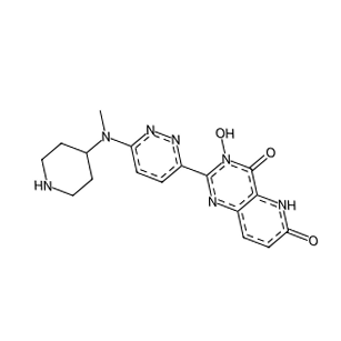 CN(c1ccc(-c2nc3ccc(=O)[nH]c3c(=O)n2O)nn1)C1CCNCC1